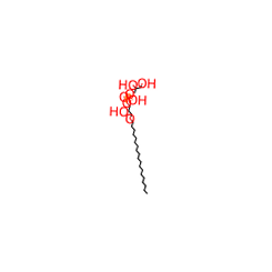 CCCCCCCCCCCCCCCCCCCOCC(O)COP(=O)(O)OCC(O)CO